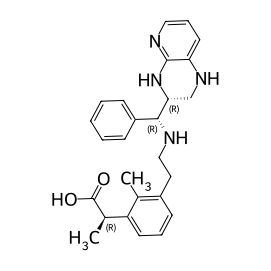 Cc1c(CCN[C@H](c2ccccc2)[C@H]2CNc3cccnc3N2)cccc1[C@@H](C)C(=O)O